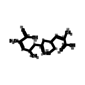 CC(=CC(C)CC(=S)CC(C=C(C)C(=O)O)CO)C(=O)O